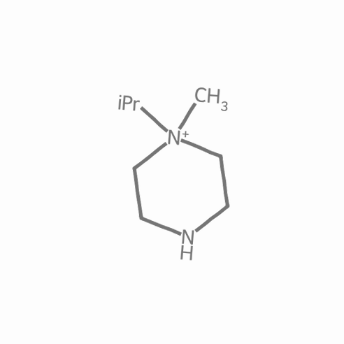 CC(C)[N+]1(C)CCNCC1